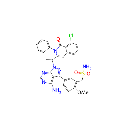 COc1ccc(-c2nn(C(C)c3cc4cccc(Cl)c4c(=O)n3-c3ccccc3)c3ncnc(N)c23)cc1CS(N)(=O)=O